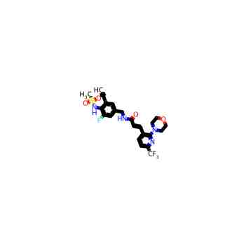 C#Cc1cc(CNC(=O)C=Cc2ccc(C(F)(F)F)nc2N2CCOCC2)cc(F)c1NS(C)(=O)=O